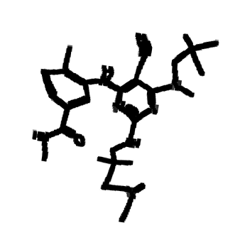 CNC(=O)c1ccc(C)c(Nc2nc(NCC(C)(C)CN(C)C)nc(N(C)CC(C)(C)C)c2C#N)c1